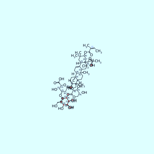 C/C=C(/C)C(=O)O[C@H]1[C@H](OC(C)=O)[C@]2(CO)[C@H](O)C[C@]3(C)C(=CC[C@@H]4[C@@]5(C)CC[C@H](O[C@@H]6O[C@H](C(=O)O)[C@@H](O)[C@H](O[C@@H]7OC[C@H](O)[C@H](O)[C@H]7O[C@@H]7OC[C@@H](O)[C@H](O)[C@H]7O)[C@H]6O[C@@H]6O[C@H](CO)[C@H](O)[C@H](O)[C@H]6O)[C@@](C)(CO)[C@@H]5CC[C@]43C)[C@@H]2CC1(C)C